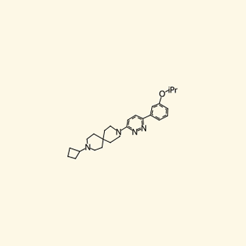 CC(C)Oc1cccc(-c2ccc(N3CCC4(CC3)CCN(C3CCC3)CC4)nn2)c1